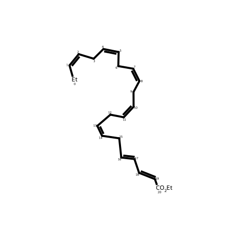 CC/C=C\C/C=C\C/C=C\C/C=C\C/C=C\C/C=C/C=C/C(=O)OCC